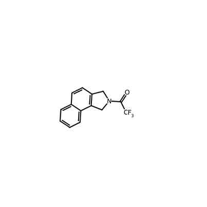 O=C(N1Cc2ccc3ccccc3c2C1)C(F)(F)F